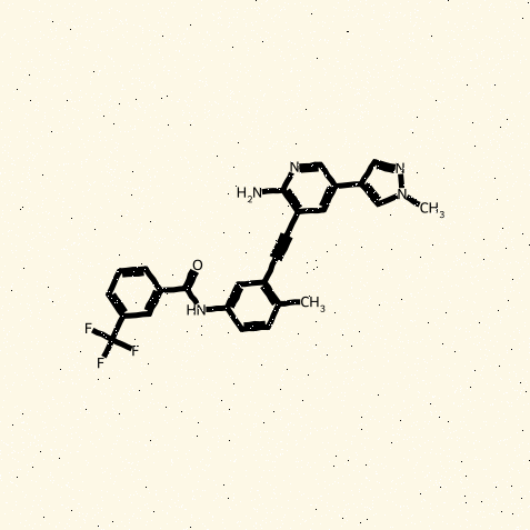 Cc1ccc(NC(=O)c2cccc(C(F)(F)F)c2)cc1C#Cc1cc(-c2cnn(C)c2)cnc1N